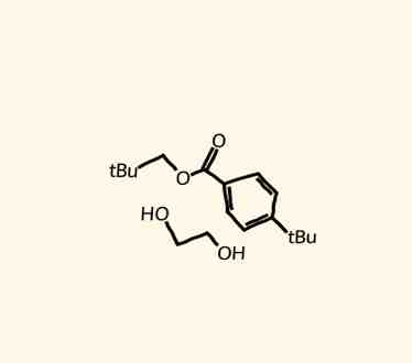 CC(C)(C)COC(=O)c1ccc(C(C)(C)C)cc1.OCCO